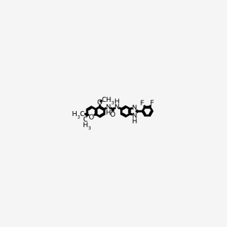 COc1c(NC(=O)Nc2ccc3[nH]c(-c4cccc(F)c4F)nc3c2)ccc2c1C=CC(C)(C)O2